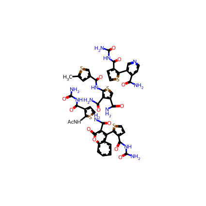 CC(=O)Nc1sccc1C(=O)NC(N)=O.Cc1cc(C(=O)Nc2scc(C(N)=O)c2C(N)=O)cs1.NC(=O)NC(=O)c1ccsc1-c1c(C(N)=O)c(=O)oc2ccccc12.NC(=O)NC(=O)c1ccsc1-c1cnccc1C(N)=O